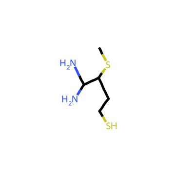 CSC(CCS)[C](N)N